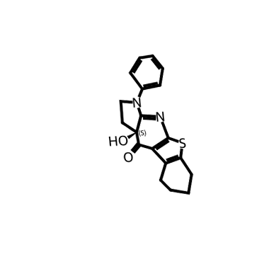 O=C1c2c(sc3c2CCCC3)N=C2N(c3ccccc3)CC[C@@]12O